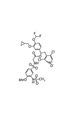 COc1ccc(S(=O)(=O)NCC(=O)OC(Cc2c(Cl)c[n+]([O-])cc2Cl)c2ccc(OC(F)F)c(OCC3CC3)c2)cc1NS(C)(=O)=O